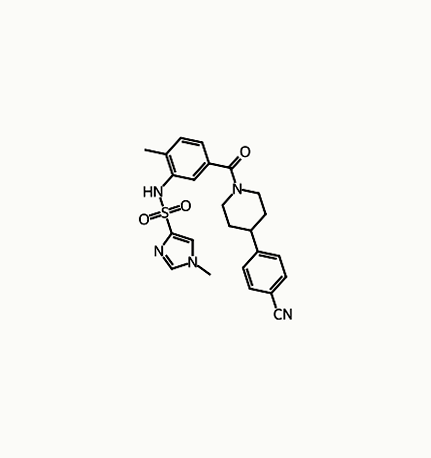 Cc1ccc(C(=O)N2CCC(c3ccc(C#N)cc3)CC2)cc1NS(=O)(=O)c1cn(C)cn1